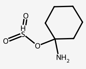 NC1(O[SH](=O)=O)CCCCC1